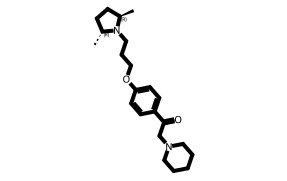 C[C@@H]1CC[C@@H](C)N1CCCOc1ccc(C(=O)CN2CCCCC2)cc1